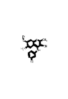 CCOc1cc2nc(C)c(C#N)c(Nc3cccc(Cl)c3)c2cc1N